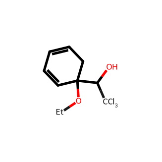 CCOC1(C(O)C(Cl)(Cl)Cl)C=CC=CC1